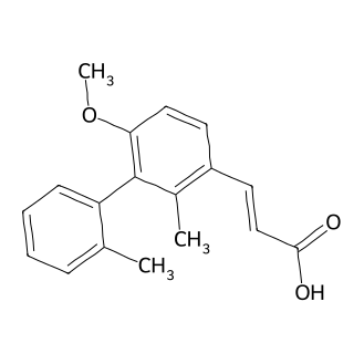 COc1ccc(C=CC(=O)O)c(C)c1-c1ccccc1C